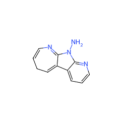 Nn1c2c(c3cccnc31)=CCC=CN=2